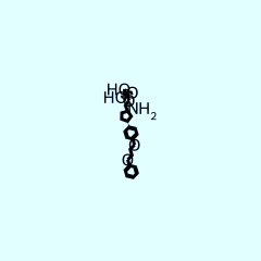 N[C@]1(COP(=O)(O)O)CC[C@@H](c2ccc(OCCOc3ccccc3)cc2)C1